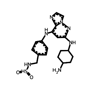 NC1CCC(Nc2cc(Nc3ccc(CN[SH](=O)=O)cc3)c3nccn3n2)CC1